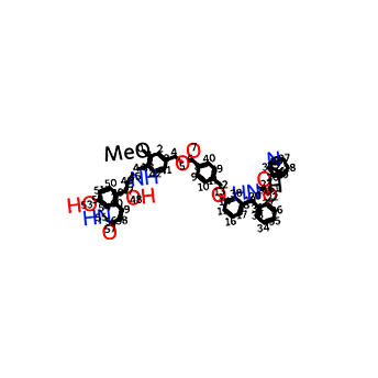 COc1cc(COC(=O)c2ccc(COc3cccc([C@@H](NC(=O)O[C@H]4CN5CCC4CC5)c4ccccc4)c3)cc2)ccc1CNC[C@H](O)c1ccc(O)c2[nH]c(=O)ccc12